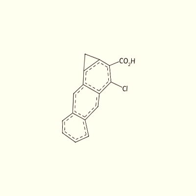 O=C(O)c1c2c(c3cc4ccccc4cc3c1Cl)C2